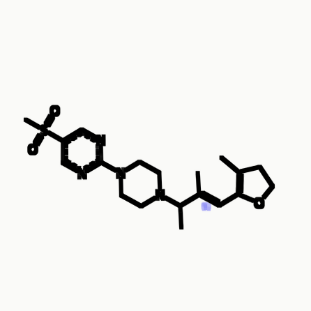 CC1=C(/C=C(\C)C(C)N2CCN(c3ncc(S(C)(=O)=O)cn3)CC2)OCC1